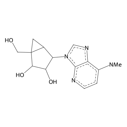 CNc1ccnc2c1ncn2C1C(O)C(O)C2(CO)CC12